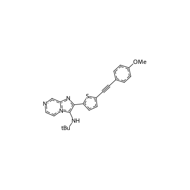 COc1ccc(C#Cc2ccc(-c3nc4cnccn4c3NC(C)(C)C)s2)cc1